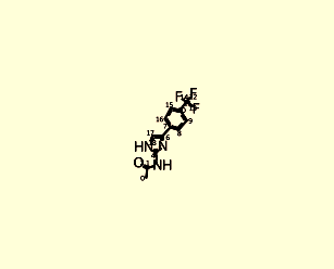 CC(=O)Nc1nc(-c2ccc(C(F)(F)F)cc2)c[nH]1